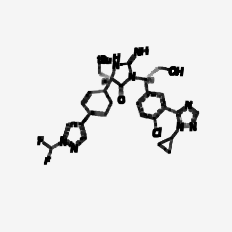 CC(C)(C)C[C@]1(C2C=CC(c3cnn(C(F)F)c3)=CC2)NC(=N)N([C@H](CO)c2ccc(Cl)c(-c3ncnn3C3CC3)c2)C1=O